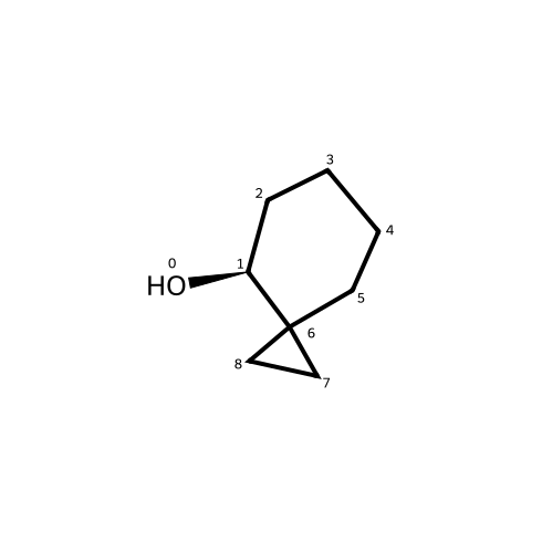 O[C@H]1CCCCC12CC2